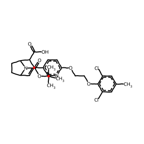 Cc1cc(Cl)c(OCCOc2ccc(C3=CC4CCC(C3C(=O)O)N4C(=O)OC(C)(C)C)cn2)c(Cl)c1